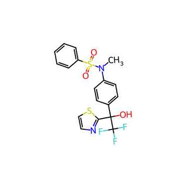 CN(c1ccc(C(O)(c2nccs2)C(F)(F)F)cc1)S(=O)(=O)c1ccccc1